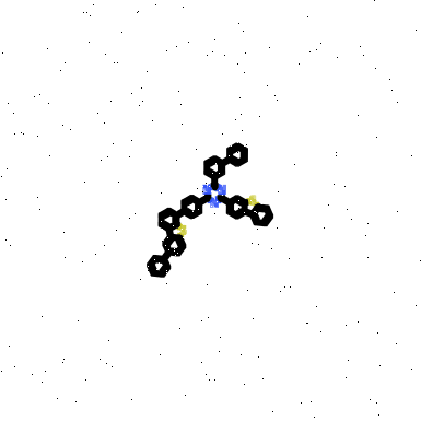 c1ccc(-c2cccc(-c3nc(-c4ccc(-c5cccc6c5sc5ccc(-c7ccccc7)cc56)cc4)nc(-c4ccc5c(c4)sc4ccccc45)n3)c2)cc1